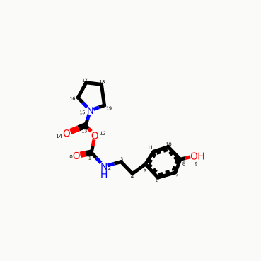 O=C(NCCc1ccc(O)cc1)OC(=O)N1CCCC1